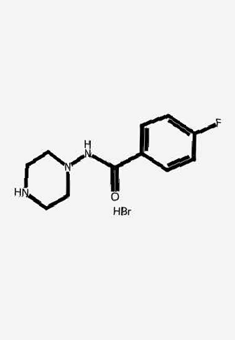 Br.O=C(NN1CCNCC1)c1ccc(F)cc1